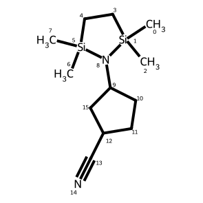 C[Si]1(C)CC[Si](C)(C)N1C1CCC(C#N)C1